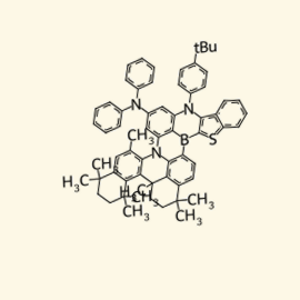 Cc1cc2c(c3c1N1c4cc(N(c5ccccc5)c5ccccc5)cc5c4B(c4ccc6c(c41)C3(C)CCC6(C)C)c1sc3ccccc3c1N5c1ccc(C(C)(C)C)cc1)C(C)(C)CCC2(C)C